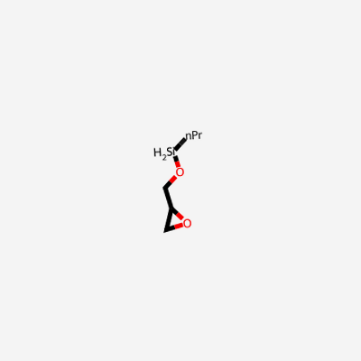 [CH2]CC[SiH2]OCC1CO1